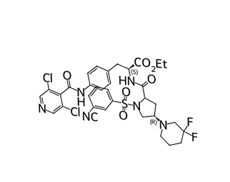 CCOC(=O)[C@H](Cc1ccc(NC(=O)c2c(Cl)cncc2Cl)cc1)NC(=O)C1C[C@@H](N2CCCC(F)(F)C2)CN1S(=O)(=O)c1cccc(C#N)c1